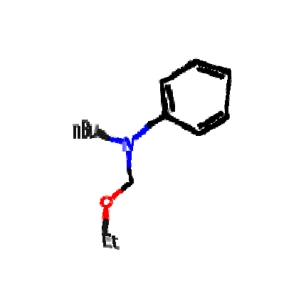 CCCCN(COCC)c1ccccc1